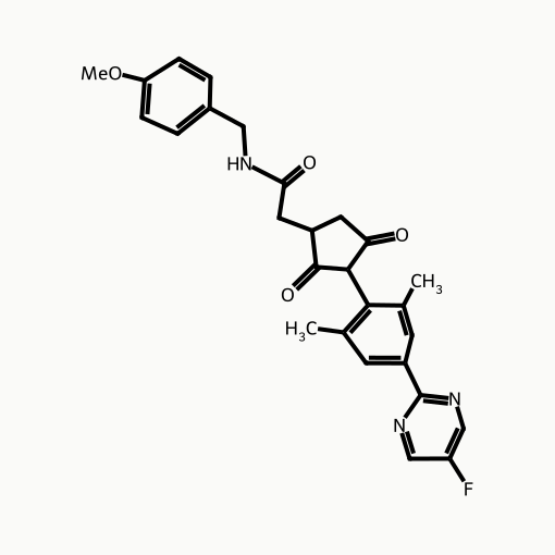 COc1ccc(CNC(=O)CC2CC(=O)C(c3c(C)cc(-c4ncc(F)cn4)cc3C)C2=O)cc1